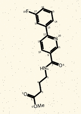 COC(=O)CCCNC(=O)c1ccc(-c2cccc(F)c2)nc1